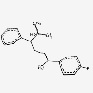 [CH3][SnH]([CH3])[CH](CCC(O)c1ccc(F)cc1)c1ccccc1